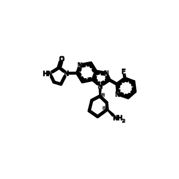 N[C@H]1CCC[C@@H](n2c(-c3ncccc3F)nc3cnc(N4CCNC4=O)cc32)C1